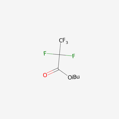 CC(C)COC(=O)C(F)(F)C(F)(F)F